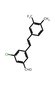 Cc1ccc(/C=C/c2cc(Cl)cc(C=O)c2)cc1C(F)(F)F